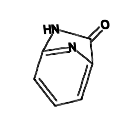 O=C1Nc2cccc1n2